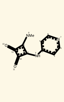 CNc1c(Nc2ccncc2)c(=O)c1=O